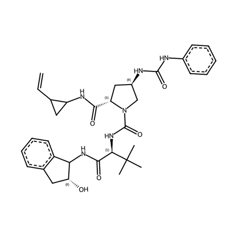 C=CC1CC1NC(=O)[C@@H]1C[C@@H](NC(=O)Nc2ccccc2)CN1C(=O)N[C@H](C(=O)NC1c2ccccc2C[C@H]1O)C(C)(C)C